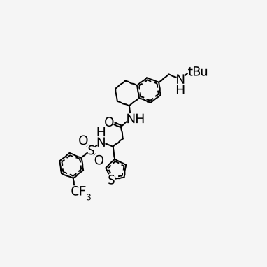 CC(C)(C)NCc1ccc2c(c1)CCCC2NC(=O)CC(NS(=O)(=O)c1cccc(C(F)(F)F)c1)c1ccsc1